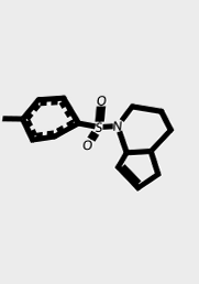 Cc1ccc(S(=O)(=O)N2CCCC3CC=CC32)cc1